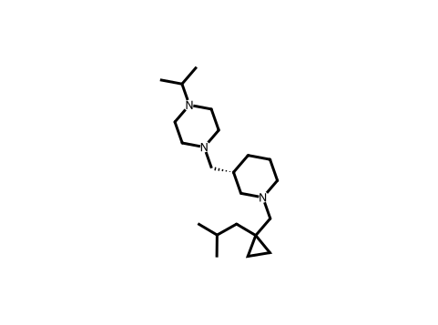 CC(C)CC1(CN2CCC[C@@H](CN3CCN(C(C)C)CC3)C2)CC1